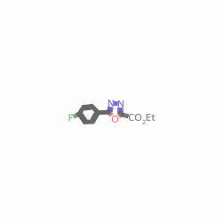 CCOC(=O)c1nnc(-c2ccc(F)cc2)o1